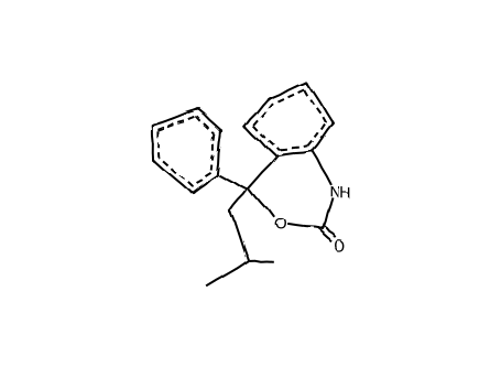 CC(C)CC1(c2ccccc2)OC(=O)Nc2ccccc21